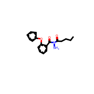 CCCCC(=O)N(N)C(=O)c1ccccc1Oc1ccccc1